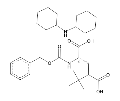 C1CCC(NC2CCCCC2)CC1.CC(C)(C)C(C[C@H](NC(=O)OCc1ccccc1)C(=O)O)C(=O)O